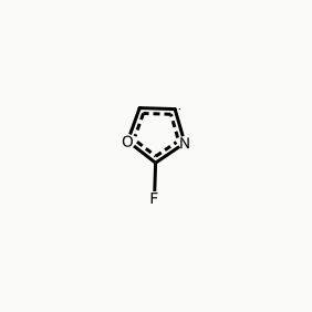 Fc1n[c]co1